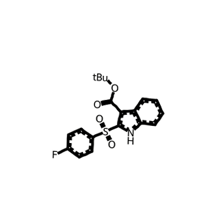 CC(C)(C)OC(=O)c1c(S(=O)(=O)c2ccc(F)cc2)[nH]c2ccccc12